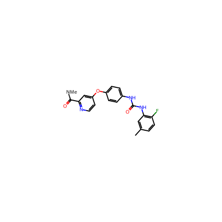 CNC(=O)c1cc(Oc2ccc(NC(=O)Nc3cc(C)ccc3F)cc2)ccn1